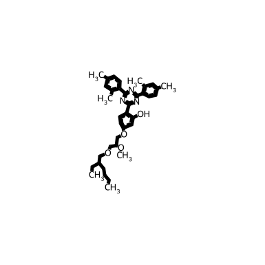 CCCCC(CC)COCC(COc1ccc(-c2nc(-c3ccc(C)cc3C)nc(-c3ccc(C)cc3C)n2)c(O)c1)OC